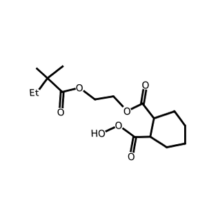 CCC(C)(C)C(=O)OCCOC(=O)C1CCCCC1C(=O)OO